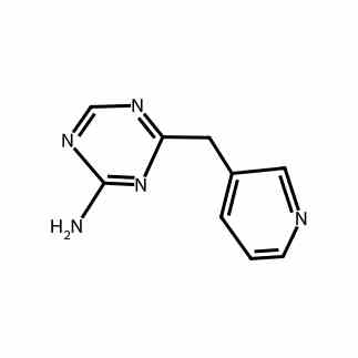 Nc1ncnc(Cc2cccnc2)n1